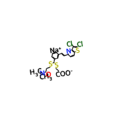 CN(C)C(=O)CCSC(SCCC(=O)[O-])c1cccc(C=Cc2ccc3sc(Cl)c(Cl)c3n2)c1.[Na+]